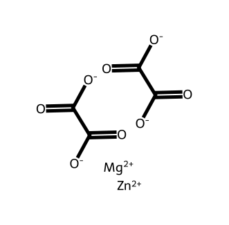 O=C([O-])C(=O)[O-].O=C([O-])C(=O)[O-].[Mg+2].[Zn+2]